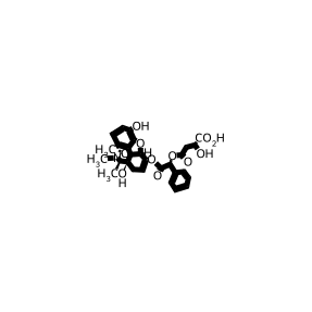 Cc1ccc(O)c2c1[C@]13CCN(C)[C@H](C)[C@]1(O)CC=C(OC(=O)[C@@H](OC(=O)C[C@H](O)C(=O)O)c1ccccc1)[C@@H]3O2